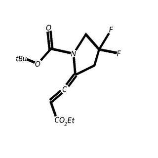 CCOC(=O)C=C=C1CC(F)(F)CN1C(=O)OC(C)(C)C